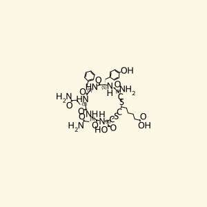 NC(=O)CC[C@@H]1NC(=O)[C@H](Cc2ccccc2)NC(=O)[C@H](Cc2ccc(O)cc2)NC(=O)[C@@H](N)CSC(CCCCC(=O)O)CSC[C@@H](C(=O)O)NC(=O)[C@H](CC(N)=O)NC1=O